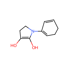 OC1=C(O)N(C2=CCCC=C2)CC1